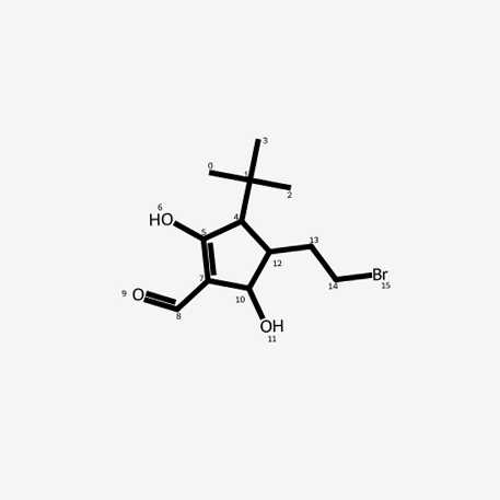 CC(C)(C)C1C(O)=C(C=O)C(O)C1CCBr